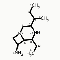 CCC(C)C1CN2CC(N)C2C(CC)N1